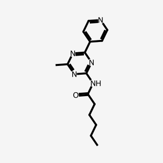 CCCCCC(=O)Nc1nc(C)nc(-c2ccncc2)n1